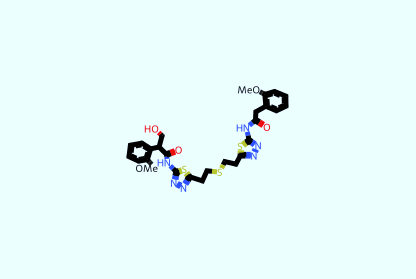 COc1ccccc1CC(=O)Nc1nnc(CCSCCc2nnc(NC(=O)C(CO)c3ccccc3OC)s2)s1